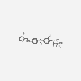 CCN1CCCC1CNc1ccc(S(=O)(=O)c2ccc(NC(=O)[C@@](C)(O)C(F)(F)F)c(Cl)c2)cc1